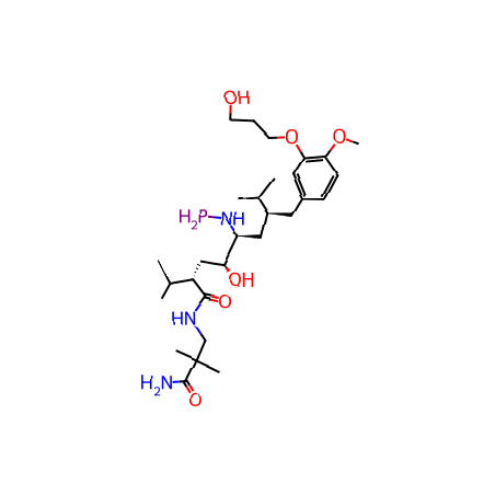 COc1ccc(C[C@@H](C[C@H](NP)[C@@H](O)C[C@H](C(=O)NCC(C)(C)C(N)=O)C(C)C)C(C)C)cc1OCCCO